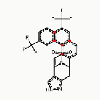 O=S(=O)(c1ccc(C(F)(F)F)cc1)N1C2=Cc3c(-c4cccc(C(F)(F)F)c4)cccc3C1Cc1n[nH]cc12